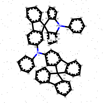 c1ccc(N(c2ccc3c(c2)C2(c4ccccc4-c4ccccc42)c2ccccc2-3)c2ccc3c(c2)C2(c4ccccc4-3)c3ccccc3N(c3ccccc3)c3ccccc32)cc1